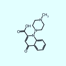 CN1CCN(n2c(C(=O)O)cc(=O)c3ccccc32)CC1